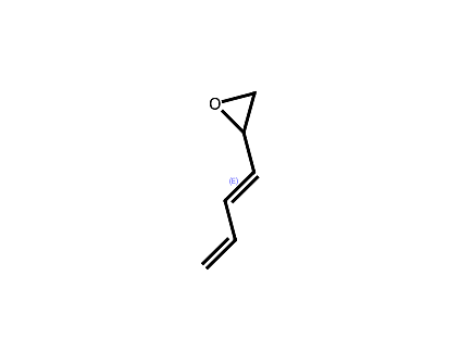 C=C/C=C/C1CO1